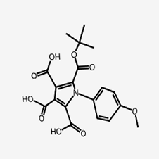 COc1ccc(-n2c(C(=O)O)c(C(=O)O)c(C(=O)O)c2C(=O)OC(C)(C)C)cc1